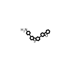 Nc1ccc(-c2ccc3sc4ccc(-c5ccc6c(c5)oc5ccccc56)cc4c3c2)cc1